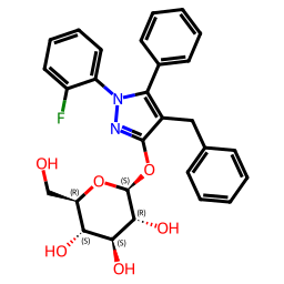 OC[C@H]1O[C@@H](Oc2nn(-c3ccccc3F)c(-c3ccccc3)c2Cc2ccccc2)[C@H](O)[C@@H](O)[C@@H]1O